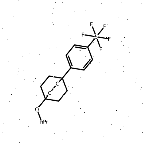 CCCOC12CCC(c3ccc(S(F)(F)(F)(F)F)cc3)(CC1)CC2